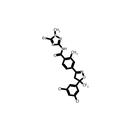 CCc1nc(NC(=O)c2ccc(C3=NOC(c4cc(Cl)cc(Cl)c4)(C(F)(F)F)C3)cc2C)nn1C